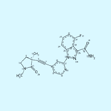 CN1CC[C@@](C)(C#Cc2ccnc(-n3nc(C(N)=O)c4c(F)cccc43)c2)C1=O